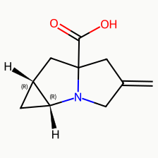 C=C1CN2[C@@H]3C[C@@H]3CC2(C(=O)O)C1